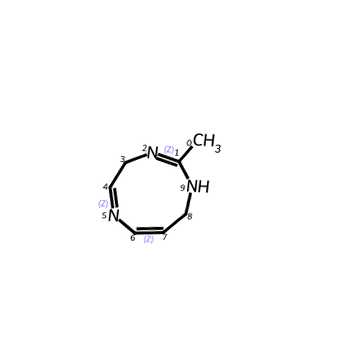 C/C1=N/C/C=N\C=C/CN1